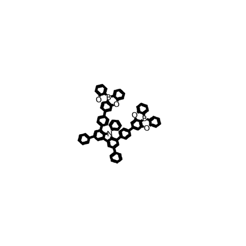 c1ccc(-c2cc(-c3ccc(-c4cc5c6c(c4)Oc4ccccc4B6c4ccccc4O5)cc3)c3c(c2)c2cc(-c4ccccc4)cc(-c4ccc(-c5cc6c7c(c5)Oc5ccccc5B7c5ccccc5O6)cc4)c2n3-c2ccccc2)cc1